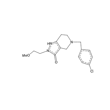 COCCn1[nH]c2c(c1=O)CN(Cc1ccc(Cl)cc1)CC2